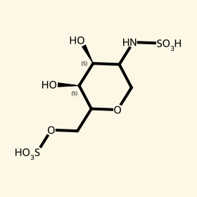 O=S(=O)(O)NC1COC(COS(=O)(=O)O)[C@@H](O)[C@H]1O